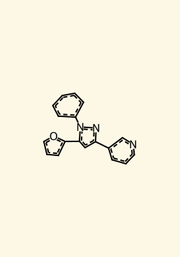 c1ccc(-n2nc(-c3cccnc3)cc2-c2ccco2)cc1